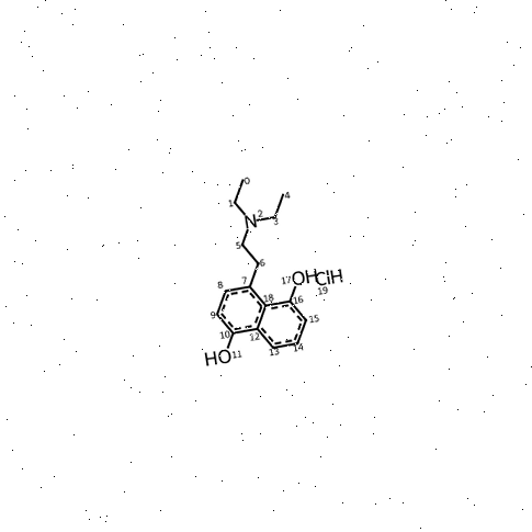 CCN(CC)CCc1ccc(O)c2cccc(O)c12.Cl